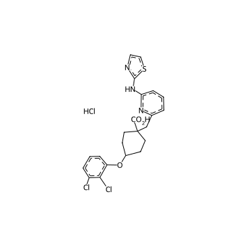 Cl.O=C(O)C1(Cc2cccc(Nc3nccs3)n2)CCC(Oc2cccc(Cl)c2Cl)CC1